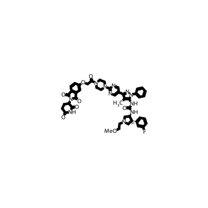 COCCN1C[C@@H](NC(=O)Nc2c(C)c(-c3cnc(N4CCN(C(=O)COc5ccc6c(c5)C(=O)N(C5CCC(=O)NC5=O)C6=O)CC4)nc3)nn2-c2ccccc2)[C@H](c2cccc(F)c2)C1